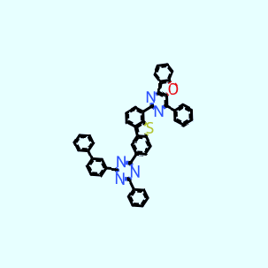 c1ccc(-c2cccc(-c3nc(-c4ccccc4)nc(-c4ccc5sc6c(-c7nc(-c8ccccc8)c8oc9ccccc9c8n7)cccc6c5c4)n3)c2)cc1